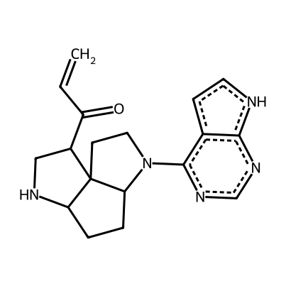 C=CC(=O)C1CNC2CCC3N(c4ncnc5[nH]ccc45)CCC213